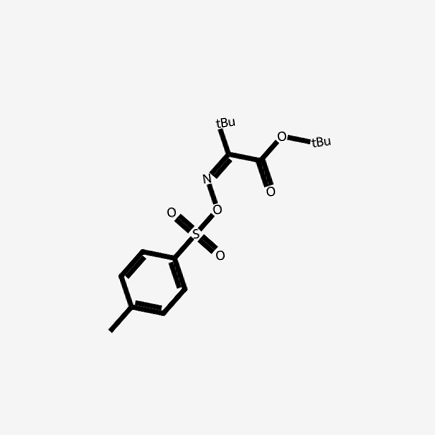 Cc1ccc(S(=O)(=O)O/N=C(\C(=O)OC(C)(C)C)C(C)(C)C)cc1